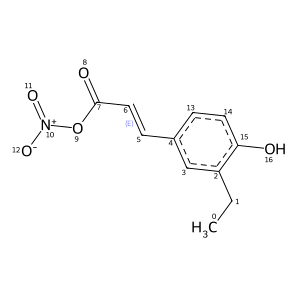 CCc1cc(/C=C/C(=O)O[N+](=O)[O-])ccc1O